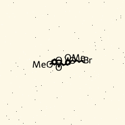 COc1ccc2c(c1)C(=O)C(=Cc1ccc(OCCCCCBr)c(OC)c1)CO2